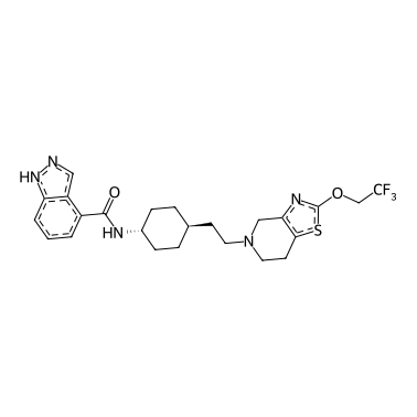 O=C(N[C@H]1CC[C@H](CCN2CCc3sc(OCC(F)(F)F)nc3C2)CC1)c1cccc2[nH]ncc12